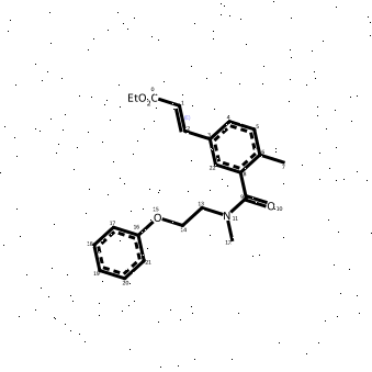 CCOC(=O)/C=C/c1ccc(C)c(C(=O)N(C)CCOc2ccccc2)c1